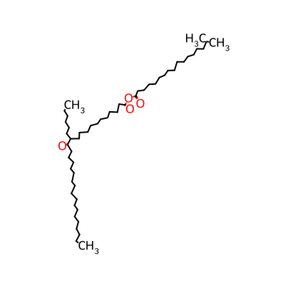 CCCCCCCCCCCCCCCCCC(=O)C(CCCCCC)CCCCCCCCCCC(=O)OC(=O)CCCCCCCCCCCCCCC(C)C